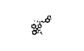 CN(CCc1ccc2c(c1)CCO2)C1CCC(C(C(N)=O)(c2ccccc2)c2ccccc2)C1